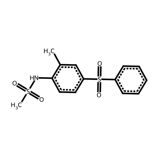 Cc1cc(S(=O)(=O)c2ccccc2)ccc1NS(C)(=O)=O